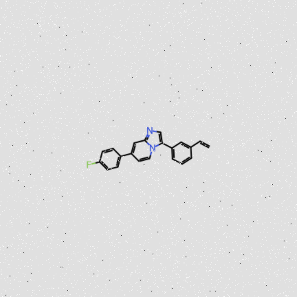 C=Cc1cccc(-c2cnc3cc(-c4ccc(F)cc4)ccn23)c1